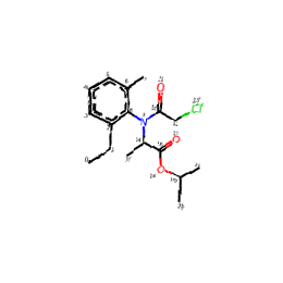 CCc1cccc(C)c1N(C(=O)CCl)C(C)C(=O)OC(C)C